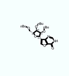 CCCCOC[C@H]1O[C@@H](c2coc3c(=O)[nH]cnc23)[C@H](OCCCC)[C@@H]1OCCCC